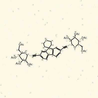 CC(=O)OC[C@H]1O[C@H](C#Cc2ccc3c(c2)C2(CCOCC2)c2cc(C#C[C@H]4O[C@H](COC(C)=O)[C@@H](OC(C)=O)[C@H](OC(C)=O)[C@@H]4OC(C)=O)ccc2-3)[C@@H](OC(C)=O)[C@@H](OC(C)=O)[C@@H]1OC(C)=O